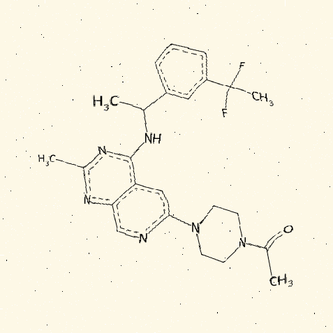 CC(=O)N1CCN(c2cc3c(NC(C)c4cccc(C(C)(F)F)c4)nc(C)nc3cn2)CC1